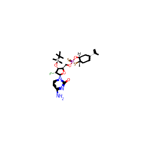 C=C(C)[C@@H]1CC[C@]2(C)SP(=S)(OC[C@H]3O[C@@H](n4ccc(N)nc4=O)[C@H](F)[C@@H]3O[Si](C)(C)C(C)(C)C)O[C@H]2C1